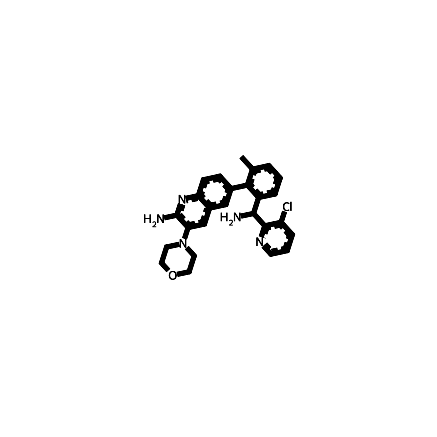 Cc1cccc(C(N)c2ncccc2Cl)c1-c1ccc2nc(N)c(N3CCOCC3)cc2c1